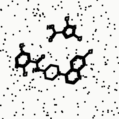 O=C(NC1CCN(c2ccnc3cc(Cl)ccc23)CC1)c1cc(Cl)cnc1Cl.O=C(O)c1cc(Cl)sc1Cl